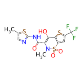 Cc1cnc(NC(=O)C2=C(O)c3sc(C(F)(F)F)cc3S(=O)(=O)N2C)s1